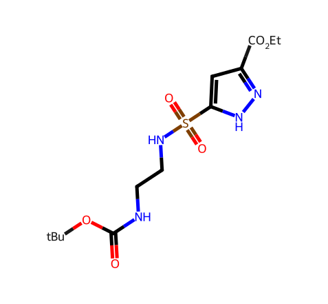 CCOC(=O)c1cc(S(=O)(=O)NCCNC(=O)OC(C)(C)C)[nH]n1